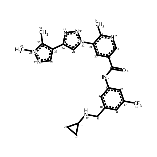 Cc1ncc(C(=O)Nc2cc(CNC3CC3)cc(C(F)(F)F)c2)cc1-n1cc(-c2cnn(C)c2C)nn1